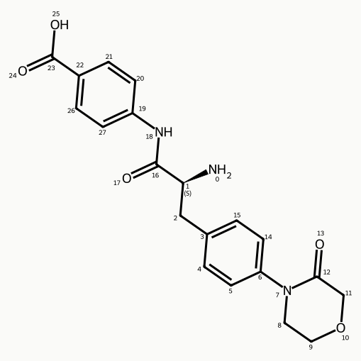 N[C@@H](Cc1ccc(N2CCOCC2=O)cc1)C(=O)Nc1ccc(C(=O)O)cc1